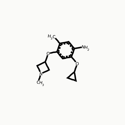 Cc1cc(N)c(OC2CC2)cc1OC1CN(C)C1